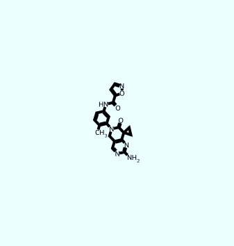 Cc1ccc(NC(=O)c2ccno2)cc1N1Cc2cnc(N)nc2C2(CC2)C1=O